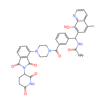 CCCC(=O)NC(c1cccc(C(=O)N2CCN(c3cccc4c3C(=O)N(C3CCC(=O)NC3=O)C4=O)CC2)c1)c1cc(C)c2cccnc2c1O